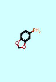 Pc1ccc2c(c1)OCO2